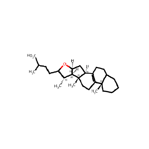 CC(CCC1O[C@H]2C[C@H]3C4=C(CC[C@]3(C)[C@H]2[C@@H]1C)[C@@]1(C)CCCCC1CC4)C(=O)O